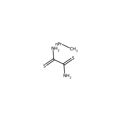 CCCC.NC(=S)C(N)=S